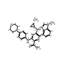 C[C@H]1C[C@@H]1Nc1nc(Nc2ccc(N3CCOCC3)cc2)c(C(N)=O)nc1-c1cccc2c1ncn2C